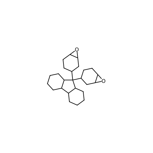 C1CCC2C(C1)C1CCCCC1C2(C1CCC2OC2C1)C1CCC2OC2C1